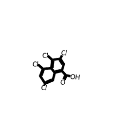 O=C(O)c1cc(Cl)c(Cl)c2c(Cl)cc(Cl)cc12